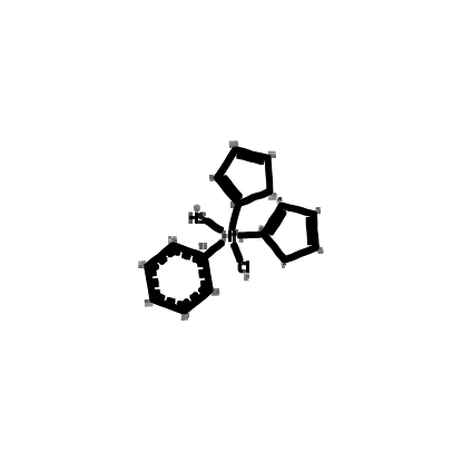 [SH][Hf]([Cl])([C]1=CC=CC1)([C]1=CC=CC1)[c]1ccccc1